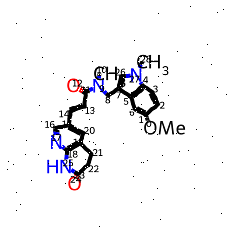 COc1ccc2c(c1)c(CN(C)C(=O)C=Cc1cnc3c(c1)CCC(=O)N3)cn2C